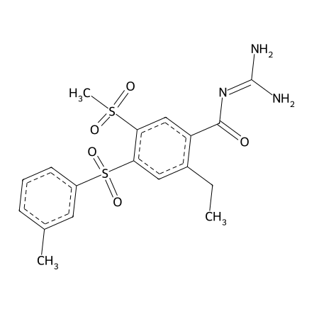 CCc1cc(S(=O)(=O)c2cccc(C)c2)c(S(C)(=O)=O)cc1C(=O)N=C(N)N